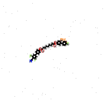 N#Cc1c(F)cc(-c2ccc(OC(=O)CCCCCCCC(=O)Oc3ccc(-c4ccc(F)cc4)c(P)c3)cc2)cc1F